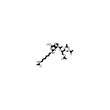 CC(=O)NCCCCCCNc1nc(O)c2ncn(C(C)OC(COC(C)=O)[C@@H](COC(C)=O)OC(C)=O)c2n1